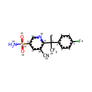 CC(c1ccc(F)cc1)(c1ncc(S(N)(=O)=O)cc1C#N)C(F)(F)F